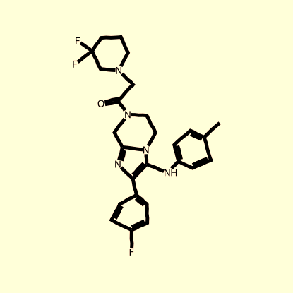 Cc1ccc(Nc2c(-c3ccc(F)cc3)nc3n2CCN(C(=O)CN2CCCC(F)(F)C2)C3)cc1